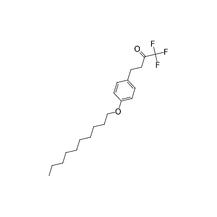 CCCCCCCCCCOc1ccc(CCC(=O)C(F)(F)F)cc1